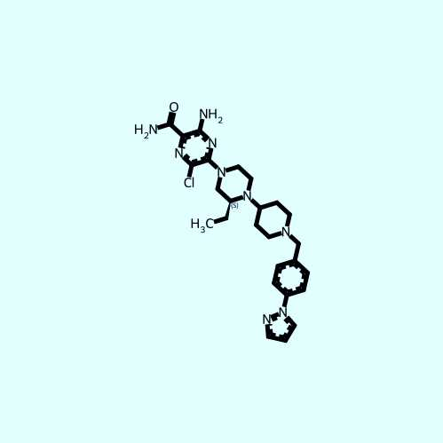 CC[C@H]1CN(c2nc(N)c(C(N)=O)nc2Cl)CCN1C1CCN(Cc2ccc(-n3cccn3)cc2)CC1